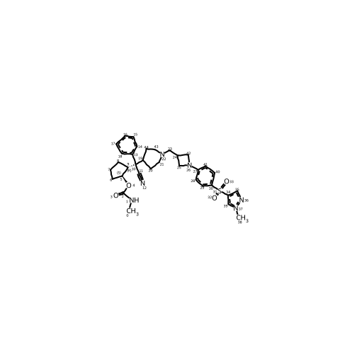 CNC(=O)O[C@H]1CCC[C@@H]1C(C#N)(c1ccccc1)C1CCN(CC2CN(c3ccc(S(=O)(=O)c4cnn(C)c4)cc3)C2)CC1